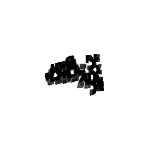 Cc1nnn(-c2ccc(C(F)F)cc2)c1COC(C)[C@@H](C)N1CCN2c3ccncc3NC(=O)[C@@H]2C1